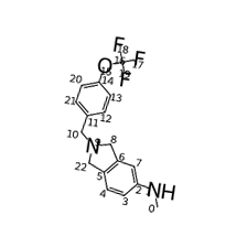 CNc1ccc2c(c1)CN(Cc1ccc(OC(F)(F)F)cc1)C2